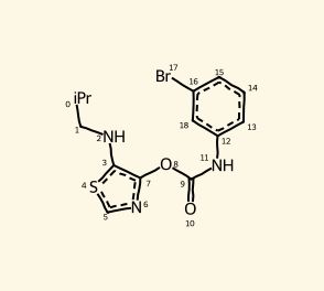 CC(C)CNc1scnc1OC(=O)Nc1cccc(Br)c1